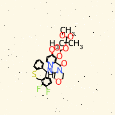 COC(=O)C(C)(C)OC(=O)Oc1c2n(ccc1=O)N([C@@H]1c3ccccc3SCc3c1ccc(F)c3F)[C@@H]1COCCN1C2=O